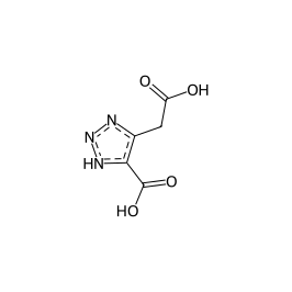 O=C(O)Cc1nn[nH]c1C(=O)O